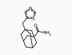 NC(=O)C12CC3CC(CC(Cc4cncs4)(C3)C1)C2